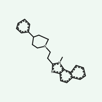 Cn1c(CCN2CCC(c3ccccc3)CC2)nc2ccc3ccccc3c21